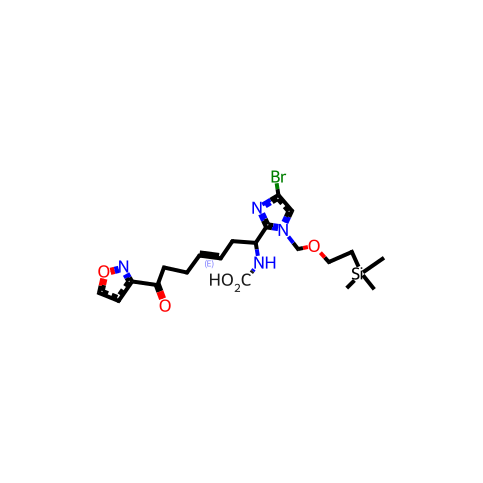 C[Si](C)(C)CCOCn1cc(Br)nc1C(C/C=C/CCC(=O)c1ccon1)NC(=O)O